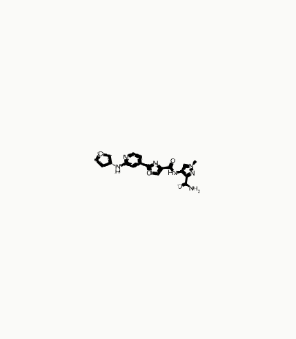 Cn1cc(NC(=O)c2coc(-c3ccnc(N[C@@H]4CCOC4)c3)n2)c(C(N)=O)n1